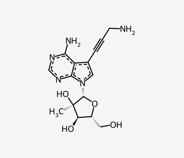 C[C@@]1(O)[C@H](O)[C@@H](CO)O[C@H]1n1cc(C#CCN)c2c(N)ncnc21